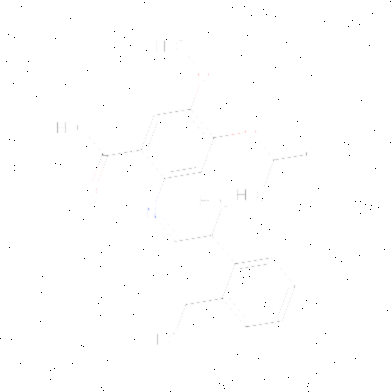 CCc1ccccc1C(C)/C=N\c1cc(OC(C)C)c(OC)cc1C(C)=O